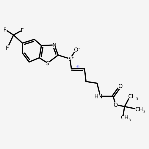 CC(C)(C)OC(=O)NCC/C=C/[S+]([O-])c1nc2cc(C(F)(F)F)ccc2s1